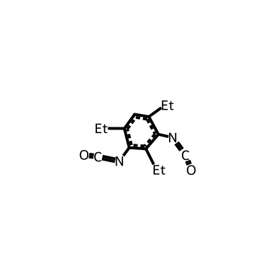 CCc1cc(CC)c(N=C=O)c(CC)c1N=C=O